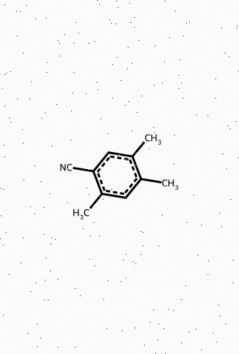 Cc1cc(C)c(C#N)cc1C